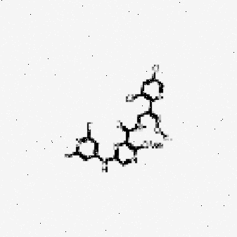 CCON=C(CNC(=O)c1nc(Nc2cc(F)nc(F)c2)cnc1OC)c1ncc(Cl)cc1Cl